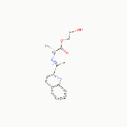 CC[C@@H](/N=C(\C)c1ccc2ccccc2n1)C(=O)OCCO